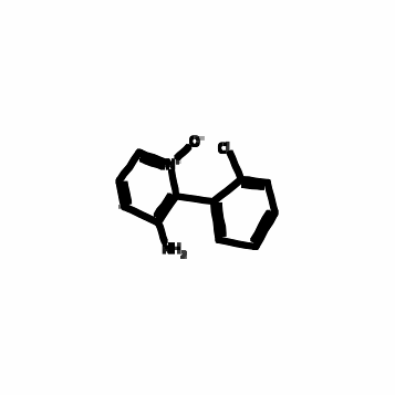 Nc1[c]cc[n+]([O-])c1-c1ccccc1Cl